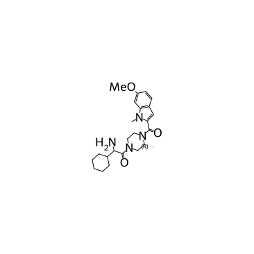 COc1ccc2cc(C(=O)N3CCN(C(=O)C(N)C4CCCCC4)C[C@H]3C)n(C)c2c1